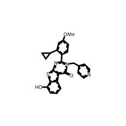 COc1ccc(-c2nc3sc4c(O)cccc4c3c(=O)n2Cc2ccncc2)c(C2CC2)c1